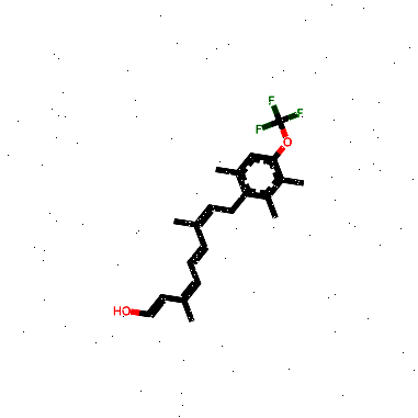 CC(C=CO)=CC=CC(C)=CCc1c(C)cc(OC(F)(F)F)c(C)c1C